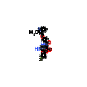 Cc1cc(COc2ccc(C(=O)NCC(C(=O)O)N3CCNCC3Cc3ccc(F)cc3)cc2)c2ccccc2n1